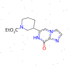 CCOC(=O)N1CCCC(c2cn3ccnc3c(=O)[nH]2)C1